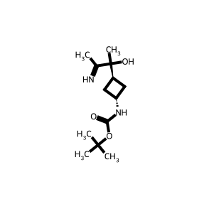 CC(=N)C(C)(O)[C@H]1C[C@H](NC(=O)OC(C)(C)C)C1